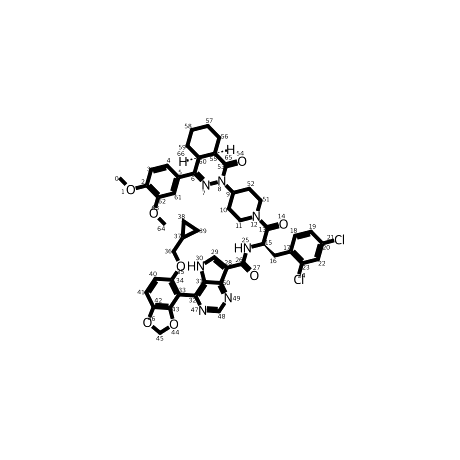 COc1ccc(C2=NN(C3CCN(C(=O)[C@@H](Cc4ccc(Cl)cc4Cl)NC(=O)c4c[nH]c5c(-c6c(OCC7CC7)ccc7c6OCO7)ncnc45)CC3)C(=O)[C@@H]3CCCC[C@H]23)cc1OC